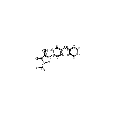 CC(C)N1CC(c2cnc(Oc3ccccc3)cn2)=C(O)C1=O